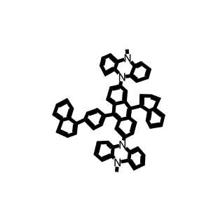 CN1c2ccccc2N(c2ccc3c(-c4cccc5ccccc45)c4cc(N5c6ccccc6N(C)c6ccccc65)ccc4c(-c4ccc(-c5cccc6ccccc56)cc4)c3c2)c2ccccc21